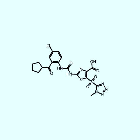 Cn1nnnc1S(=O)(=O)c1sc(NC(=O)Nc2ccc(Cl)cc2C(=O)C2CCCC2)nc1C(=O)O